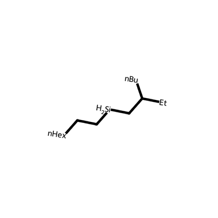 CCCCCCCC[SiH2]CC(CC)CCCC